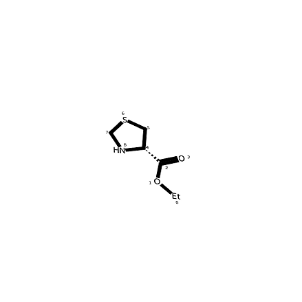 CCOC(=O)[C@H]1CSCN1